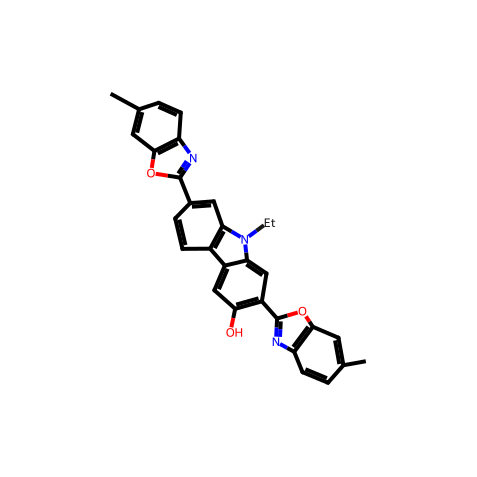 CCn1c2cc(-c3nc4ccc(C)cc4o3)ccc2c2cc(O)c(-c3nc4ccc(C)cc4o3)cc21